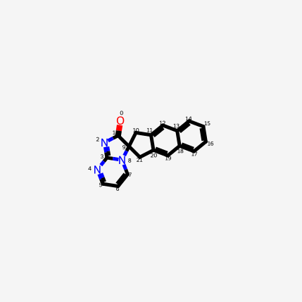 O=C1N=C2N=CC=CN2C12Cc1cc3ccccc3cc1C2